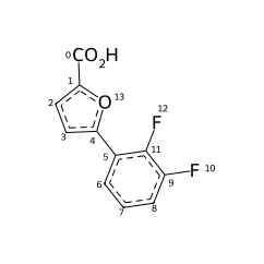 O=C(O)c1ccc(-c2cccc(F)c2F)o1